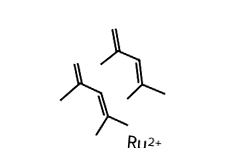 C=C(C)C=C(C)C.C=C(C)C=C(C)C.[Ru+2]